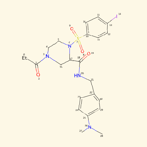 CCC(=O)N1CCN(S(=O)(=O)c2ccc(I)cc2)C(C(=O)NCc2ccc(N(C)C)cc2)C1